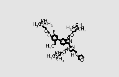 CCc1cc(OCOCC[Si](C)(C)C)c(F)cc1-c1ccc2c(-c3nc(CNC4CCOC4)cn3COCC[Si](C)(C)C)nn(COCC[Si](C)(C)C)c2c1